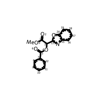 COC(=O)C(OC(=O)c1ccccc1)c1nc2ccccc2o1